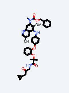 COc1c(N(C)C(=O)OCc2ccccc2)cc2ncc(C#N)cc2c1Nc1ccc(Oc2ccccc2OC(C)(C)C(=O)NCC(=O)CC2CC2)cc1